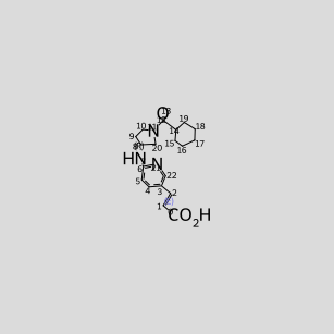 O=C(O)/C=C/c1ccc(N[C@@H]2CCN(C(=O)C3CCCCC3)C2)nc1